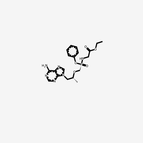 CCOC(=O)CN[P@](=O)(CO[C@H](C)Cn1cnc2c(N)ncnc21)Oc1ccccc1